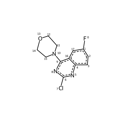 Fc1ccc2nc(Cl)nc(N3CCOCC3)c2c1